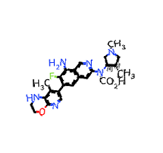 Cc1c(-c2cc3cc(N(C(=O)O)[C@H]4CN(C)C[C@@H]4C)ncc3c(N)c2F)cnc2c1NCCO2